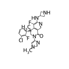 Cn1cnc(N2C[C@](C)(c3cccc(Cl)c3F)c3c(cnc(NC4CNC4)c3F)C2=O)c1